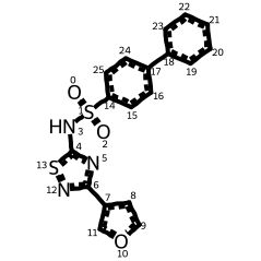 O=S(=O)(Nc1nc(-c2ccoc2)ns1)c1ccc(-c2ccccc2)cc1